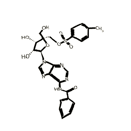 Cc1ccc(S(=O)(=O)OC[C@]2(CO)O[C@@H](n3cnc4c(NC(=O)c5ccccc5)ncnc43)[C@H](O)[C@@H]2O)cc1